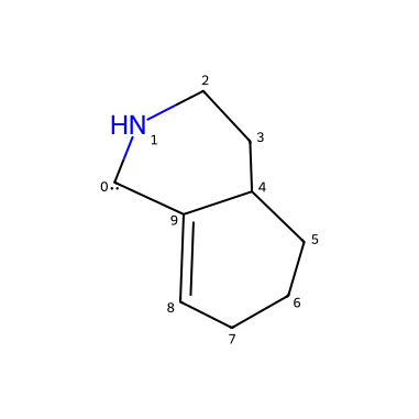 [C]1NCCC2CCCC=C12